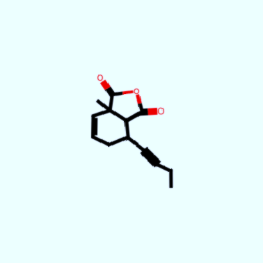 CCC#CC1CC=CC2(C)C(=O)OC(=O)C12